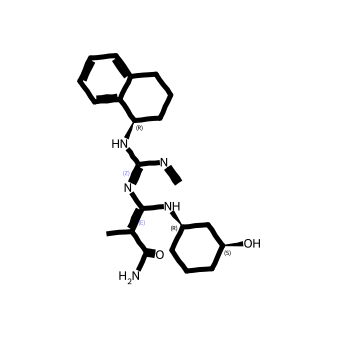 C=N/C(=N\C(N[C@@H]1CCC[C@H](O)C1)=C(/C)C(N)=O)N[C@@H]1CCCc2ccccc21